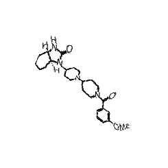 COc1cccc(C(=O)N2CCC(N3CCC(N4C(=O)N[C@H]5CCCC[C@@H]54)CC3)CC2)c1